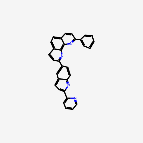 c1ccc(-c2ccc3ccc4ccc(-c5ccc6nc(-c7ccccn7)ccc6c5)nc4c3n2)cc1